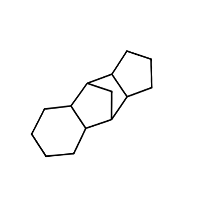 C1CCC2C(C1)C1CC2C2CCCC21